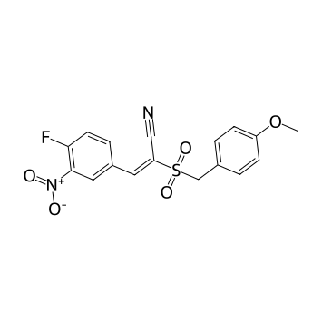 COc1ccc(CS(=O)(=O)/C(C#N)=C/c2ccc(F)c([N+](=O)[O-])c2)cc1